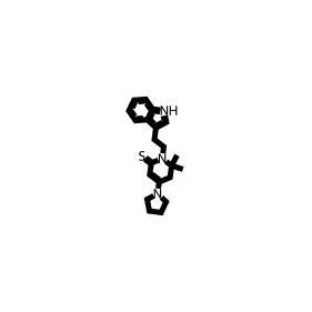 CC1(C)CC(N2CCCC2)=CC(=S)N1CCc1c[nH]c2ccccc12